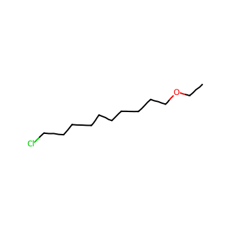 CCOCCCCCCCCCCCl